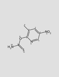 Cc1cc([N+](=O)[O-])cnc1OC(N)=S